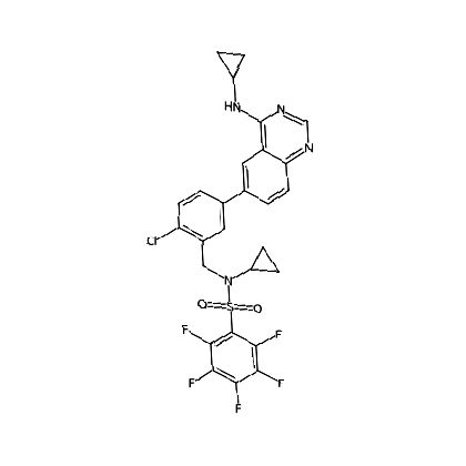 O=S(=O)(c1c(F)c(F)c(F)c(F)c1F)N(Cc1cc(-c2ccc3ncnc(NC4CC4)c3c2)ccc1Cl)C1CC1